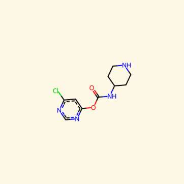 O=C(NC1CCNCC1)Oc1cc(Cl)ncn1